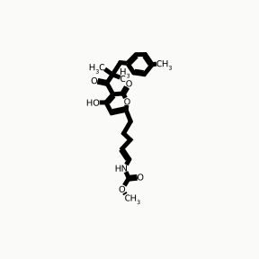 COC(=O)N/C=C/CCCc1cc(O)c(C(=O)C(C)(C)Cc2ccc(C)cc2)c(=O)o1